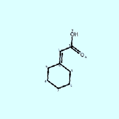 O=C(O)C=C1CCCCC1